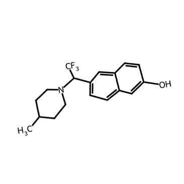 CC1CCN(C(c2ccc3cc(O)ccc3c2)C(F)(F)F)CC1